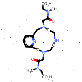 CN(CC(=O)O)C(=O)CN1CCNCCN(CC(=O)N(C)CC(=O)O)Cc2cccc(n2)C1